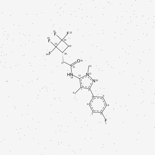 Cc1c(-c2ccc(F)cc2)nn(C)c1NC(=O)C[C@H]1CC(F)(F)C1(F)F